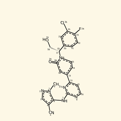 Cn1ncc(C#N)c1Nc1nccc(-c2ccn([C@H](CO)c3ccc(F)c(Cl)c3)c(=O)c2)n1